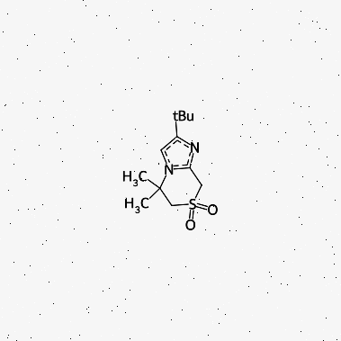 CC(C)(C)c1cn2c(n1)CS(=O)(=O)CC2(C)C